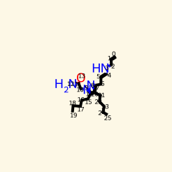 C=CCNC=CCc1nn(CC(N)=O)c(CCCCC)c1CCCCC